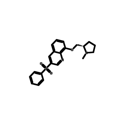 CN1CCC[C@H]1COc1cccc2cc(S(=O)(=O)c3ccccc3)cnc12